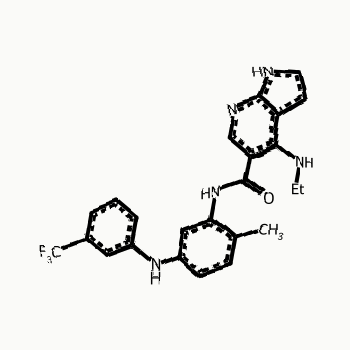 CCNc1c(C(=O)Nc2cc(Nc3cccc(C(F)(F)F)c3)ccc2C)cnc2[nH]ccc12